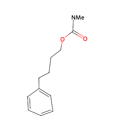 CNC(=O)OCCCCc1ccccc1